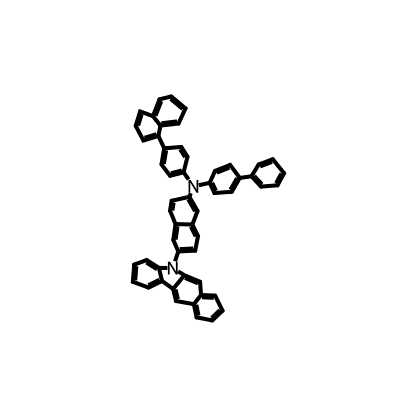 c1ccc(-c2ccc(N(c3ccc(-c4cccc5ccccc45)cc3)c3ccc4cc(-n5c6ccccc6c6cc7ccccc7cc65)ccc4c3)cc2)cc1